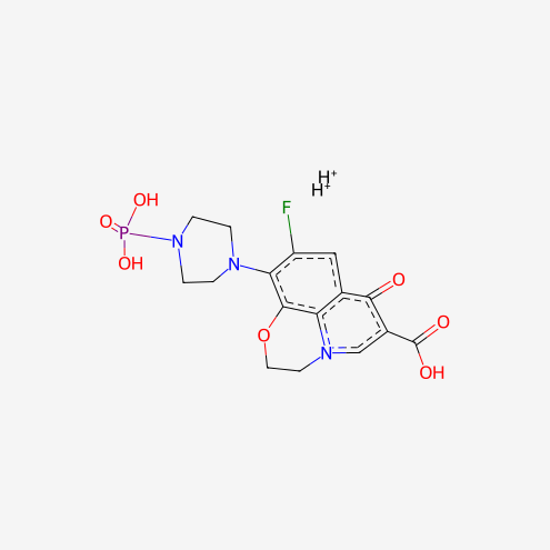 O=C(O)c1cn2c3c(c(N4CCN(P(=O)(O)O)CC4)c(F)cc3c1=O)OCC2.[H+].[H+]